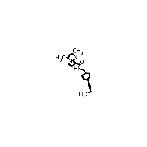 CCC#Cc1ccc(CNC(=O)c2ccn3c(C)cc(C)nc23)cc1